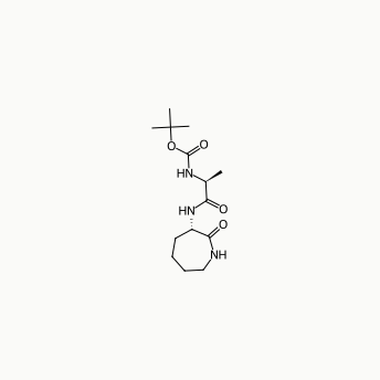 C[C@H](NC(=O)OC(C)(C)C)C(=O)N[C@H]1CCCCNC1=O